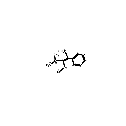 CCOC(=C(C(=O)O)c1ccccc1)N(C)C